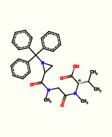 CC(C)[C@@H](C(=O)O)N(C)C(=O)CN(C)C(=O)C1CN1C(c1ccccc1)(c1ccccc1)c1ccccc1